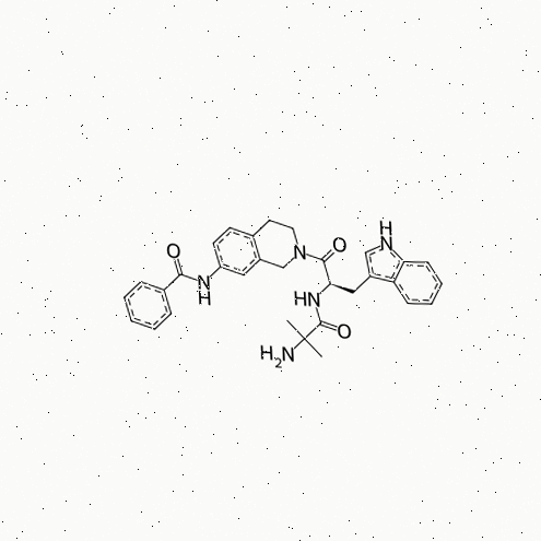 CC(C)(N)C(=O)N[C@H](Cc1c[nH]c2ccccc12)C(=O)N1CCc2ccc(NC(=O)c3ccccc3)cc2C1